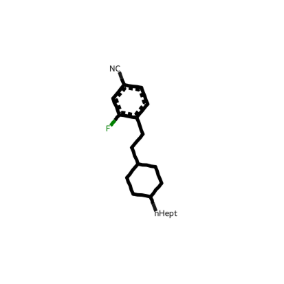 CCCCCCCC1CCC(CCc2ccc(C#N)cc2F)CC1